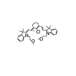 COCCN1C(=C/C=C2\CCCC(C=CC3=[N+](CCOC)c4ccccc4C3(C)C)=C2Cl)C(C)(C)c2ccccc21